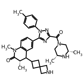 Cc1ccc(-n2nc(C(=O)N3C[C@@H](C)N[C@@H](C)C3)nc2-c2ccc3c(c2)C(C2CC4(CNC4)C2)[C@H](C)C(=O)N3C)cc1